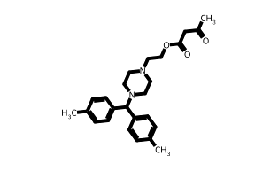 CC(=O)CC(=O)OCCN1CCN(C(c2ccc(C)cc2)c2ccc(C)cc2)CC1